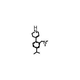 CC(C)c1ccc(C2=CCNCC2)c(CN(C)C)c1